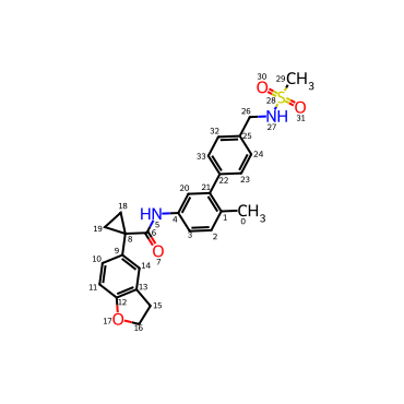 Cc1ccc(NC(=O)C2(c3ccc4c(c3)CCO4)CC2)cc1-c1ccc(CNS(C)(=O)=O)cc1